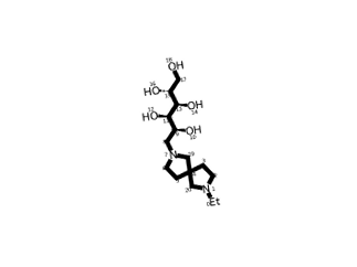 CCN1CCC2(CCN(C[C@H](O)[C@@H](O)[C@H](O)[C@H](O)CO)C2)C1